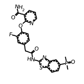 CP(C)(=O)c1ccc2sc(NC(=O)Cc3ccc(Oc4ncccc4C(N)=O)c(F)c3)nc2c1